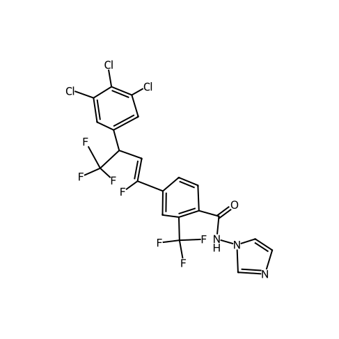 O=C(Nn1ccnc1)c1ccc(C(F)=CC(c2cc(Cl)c(Cl)c(Cl)c2)C(F)(F)F)cc1C(F)(F)F